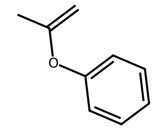 C=C(C)Oc1ccccc1